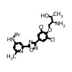 Cc1cc(NC(C)C)cc(-c2nc(-c3cc(Cl)c(OC[C@H](N)[C@@H](C)O)c(Cl)c3)no2)n1